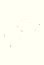 CC(C)[C@H](N)C(=O)N1CCCC2(C1)SCCN2C